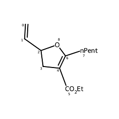 C=CC1CC(C(=O)OCC)=C(CCCCC)O1